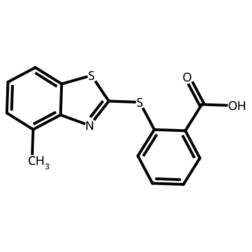 Cc1cccc2sc(Sc3ccccc3C(=O)O)nc12